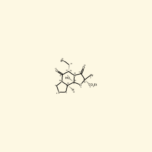 CCOC(=O)[C@]1(C(C)C)O[C@@]2(O)[C@H]3CSCN3C(=O)[C@H](CC(C)C)N2C1=O